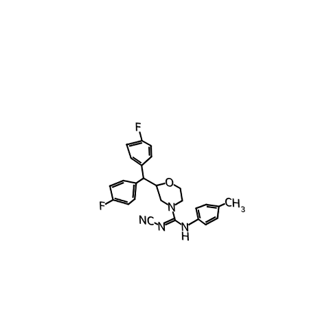 Cc1ccc(NC(=NC#N)N2CCOC(C(c3ccc(F)cc3)c3ccc(F)cc3)C2)cc1